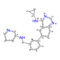 c1cncc(NCc2cccc(-c3ccc4ncnc(NC5CC5)c4c3)c2)c1